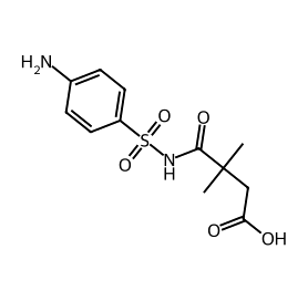 CC(C)(CC(=O)O)C(=O)NS(=O)(=O)c1ccc(N)cc1